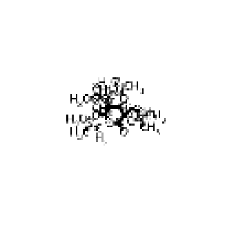 CCC1(O[Si](C)(C)C)C(=O)OC(O[Si](C)(C)C)C(O[Si](C)(C)C)C1O[Si](C)(C)C